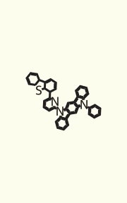 C1=CC2SC3C(=CC=CC3c3cccc(-n4c5ccccc5c5cc6c(cc54)c4ccccc4n6-c4ccccc4)n3)C2C=C1